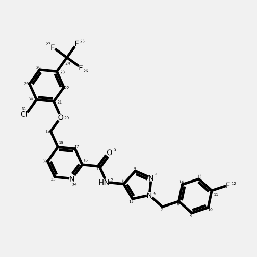 O=C(Nc1cnn(Cc2ccc(F)cc2)c1)c1cc(COc2cc(C(F)(F)F)ccc2Cl)ccn1